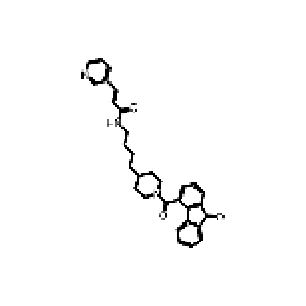 O=C(C=Cc1cccnc1)NCCCCC1CCN(C(=O)c2cccc3c2-c2ccccc2C3=O)CC1